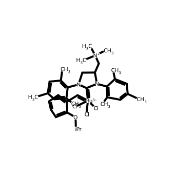 Cc1cc(C)c(N2CC(C[N+](C)(C)C)N(c3c(C)cc(C)cc3C)[C]2=[Ru-5]([Cl])([Cl])([Cl])=[CH]c2ccccc2OC(C)C)c(C)c1